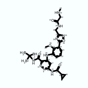 BC(B)(B)NC(=O)c1nnc(NC(=O)C2CC2)cc1Nc1cccc(-c2nc(CNC(=O)CNC)no2)c1OC